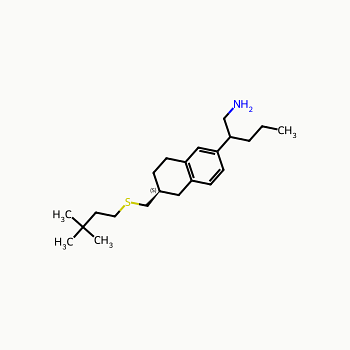 CCCC(CN)c1ccc2c(c1)CC[C@H](CSCCC(C)(C)C)C2